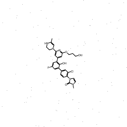 CC1=CN(c2cc(-c3cc(F)cc(-c4ccc(-n5ccn(C)c5=O)c(Cl)c4)c3O)cc(OCCCO)n2)CCN1